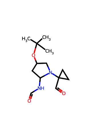 CC(C)(C)OC1CC(NC=O)N(C2(C=O)CC2)C1